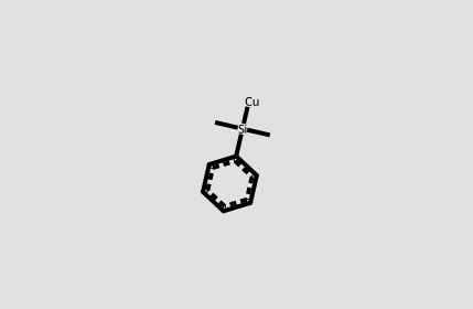 C[Si](C)([Cu])c1ccccc1